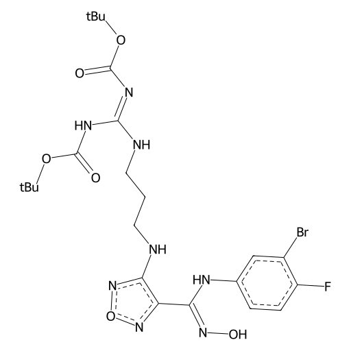 CC(C)(C)OC(=O)/N=C(/NCCCNc1nonc1/C(=N/O)Nc1ccc(F)c(Br)c1)NC(=O)OC(C)(C)C